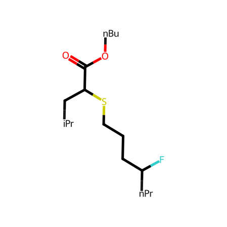 CCCCOC(=O)C(CC(C)C)SCCCC(F)CCC